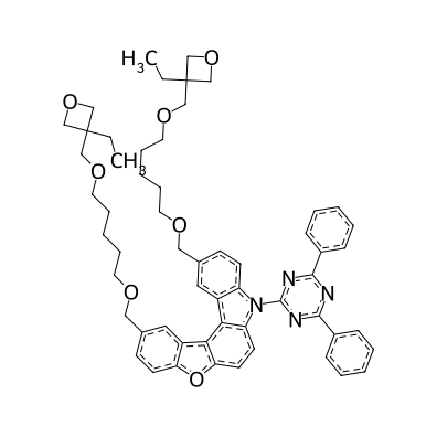 CCC1(COCCCCCOCc2ccc3oc4ccc5c(c6cc(COCCCCCOCC7(CC)COC7)ccc6n5-c5nc(-c6ccccc6)nc(-c6ccccc6)n5)c4c3c2)COC1